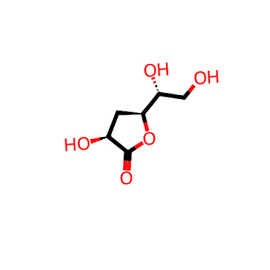 O=C1O[C@H]([C@H](O)CO)C[C@@H]1O